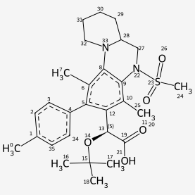 Cc1ccc(-c2c(C)c3c(c(C)c2[C@H](OC(C)(C)C)C(=O)O)N(S(C)(=O)=O)CC2CCCCN32)cc1